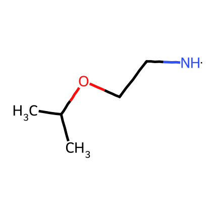 CC(C)OCC[NH]